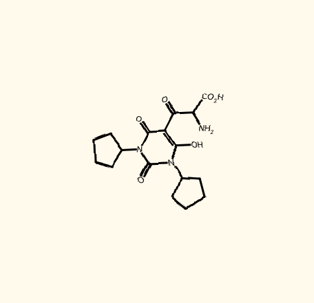 NC(C(=O)O)C(=O)c1c(O)n(C2CCCC2)c(=O)n(C2CCCC2)c1=O